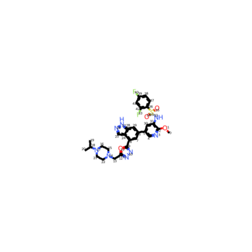 COc1ncc(-c2cc(-c3nnc(CN4CCN(C(C)C)CC4)o3)c3cn[nH]c3c2)cc1NS(=O)(=O)c1ccc(F)cc1F